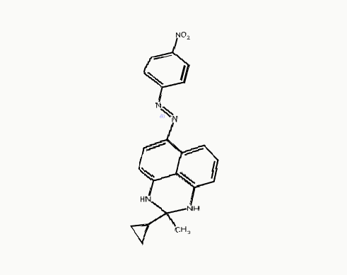 CC1(C2CC2)Nc2cccc3c(/N=N/c4ccc([N+](=O)[O-])cc4)ccc(c23)N1